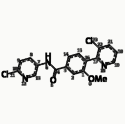 COc1cc(C(=O)Nc2ccc(Cl)nc2)ccc1-c1ncccc1Cl